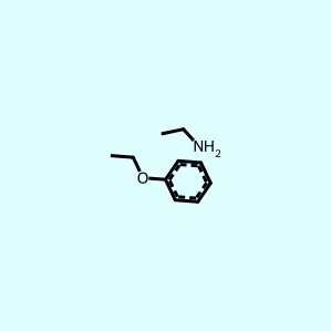 CCN.CCOc1ccccc1